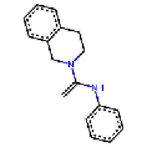 C=C(Nc1ccccc1)N1CCc2ccccc2C1